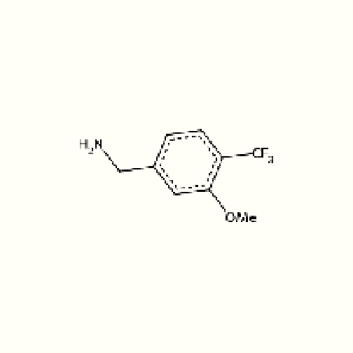 COc1cc(CN)ccc1C(F)(F)F